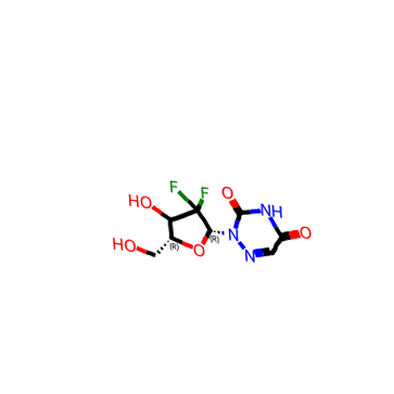 O=c1cnn([C@@H]2O[C@H](CO)C(O)C2(F)F)c(=O)[nH]1